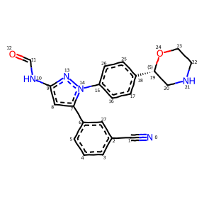 N#Cc1cccc(-c2cc(NC=O)nn2-c2ccc([C@H]3CNCCO3)cc2)c1